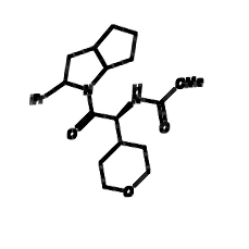 COC(=O)N[C@H](C(=O)N1C(C(C)C)CC2CCCC21)C1CCOCC1